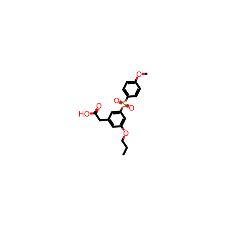 CCCOc1cc(CC(=O)O)cc(S(=O)(=O)c2ccc(OC)cc2)c1